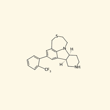 FC(F)(F)c1ccccc1-c1cc2c3c(c1)[C@@H]1CNCC[C@@H]1N3CCSC2